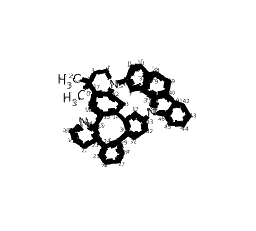 CC1(C)CCN(c2ccccc2)c2cc3c(cc21)-c1ncccc1-c1ccccc1-c1ccc(-n2c4ccccc4c4ccccc42)cc1-3